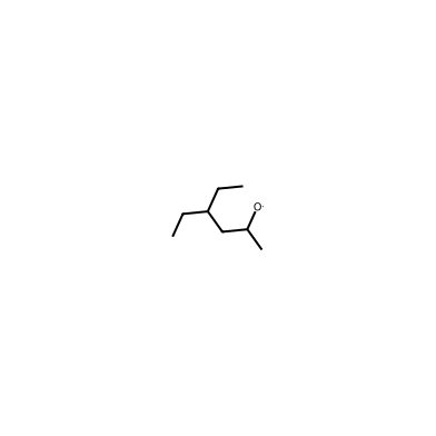 CCC(CC)CC(C)[O]